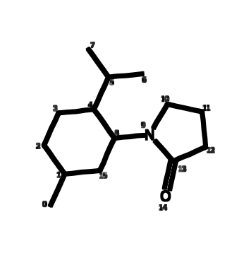 CC1CCC(C(C)C)C(N2CCCC2=O)C1